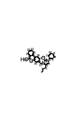 CCCc1cn(-c2ccccc2)c(=O)n1Cc1ccc(-c2ccccc2C(=O)O)cc1